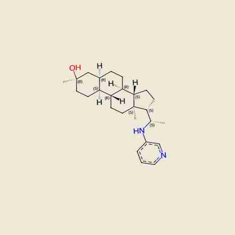 C[C@H](Nc1cccnc1)[C@H]1CC[C@H]2[C@@H]3CC[C@@H]4C[C@](C)(O)CC[C@@H]4[C@H]3CC[C@]12C